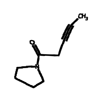 CC#CCC(=O)N1CCCC1